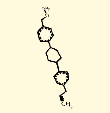 C=CCc1ccc(C2CCC(c3ccc(COCCC)cc3)CC2)cc1